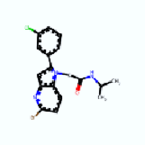 CC(C)NC(=O)Cn1c(-c2cccc(Cl)c2)cc2nc(Br)ccc21